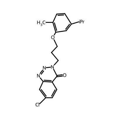 Cc1ccc(C(C)C)cc1OCCCn1nnc2cc(Cl)ccc2c1=O